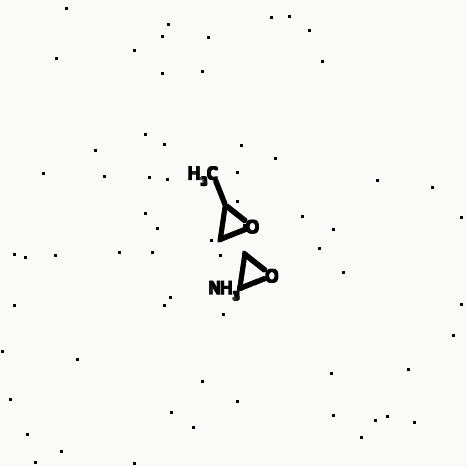 C1CO1.CC1CO1.N